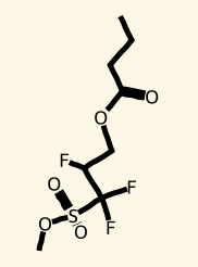 CCCC(=O)OCC(F)C(F)(F)S(=O)(=O)OC